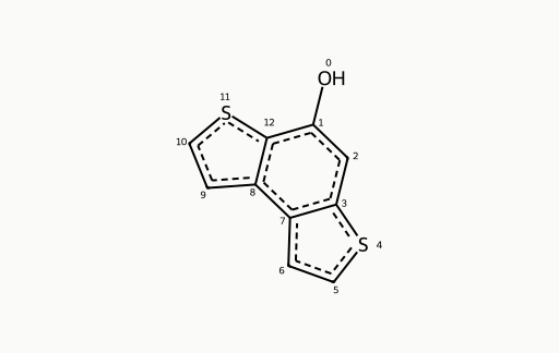 Oc1cc2sccc2c2ccsc12